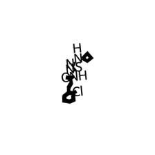 O=C(/C=C/c1ccccc1Cl)Nc1nnc(NC2CCC2)s1